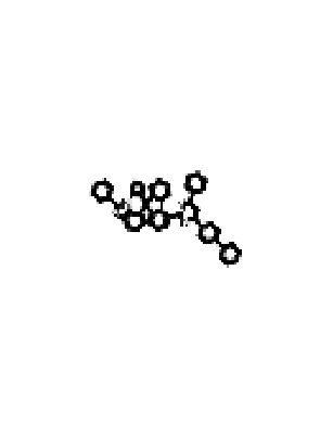 c1ccc(-c2ccc(-c3cc(-c4ccccc4)nc(-c4cccc5c4-c4ccccc4C54c5ccccc5-n5c(-c6ccccc6)nc6cccc4c65)n3)cc2)cc1